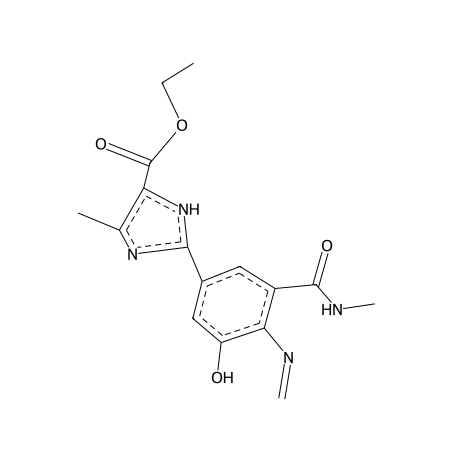 C=Nc1c(O)cc(-c2nc(C)c(C(=O)OCC)[nH]2)cc1C(=O)NC